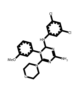 COc1cccc(N2C(N3CCOCC3)=NC(N)=NC2Nc2cc(Cl)cc(Cl)c2)c1